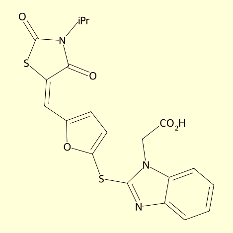 CC(C)N1C(=O)SC(=Cc2ccc(Sc3nc4ccccc4n3CC(=O)O)o2)C1=O